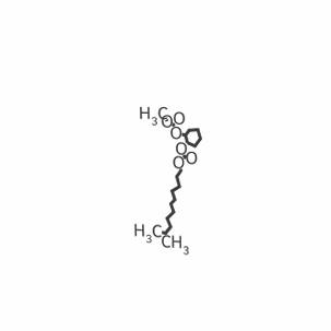 COC(=O)OC1CCCCC1OC(=O)OCCCCCCCCCC(C)C